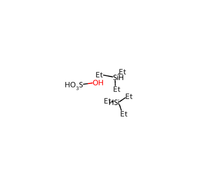 CC[SiH](CC)CC.CC[SiH](CC)CC.O=S(=O)(O)O